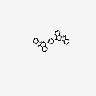 c1ccc2c(c1)nc1c3ccccc3c(-c3ccc(-c4cn5c6ccccc6nc5c5ccccc45)cc3)cn21